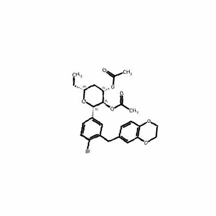 CC[C@@H]1C[C@H](OC(C)=O)[C@@H](OC(C)=O)[C@H](c2ccc(Br)c(Cc3ccc4c(c3)OCCO4)c2)O1